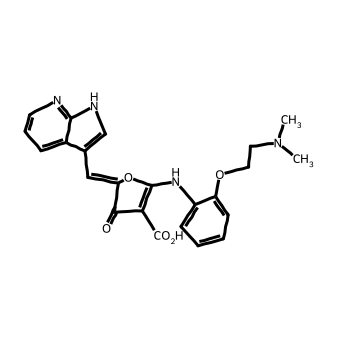 CN(C)CCOc1ccccc1NC1=C(C(=O)O)C(=O)C(=Cc2c[nH]c3ncccc23)O1